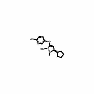 CC(=O)c1cnc(NC2=CC(=C3CCCC3)N(C)N2C(C)(C)C)cn1